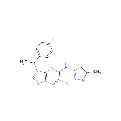 Cc1cc(Nc2nc3c(cc2F)ncn3C(C)c2ccc(F)cc2)n[nH]1